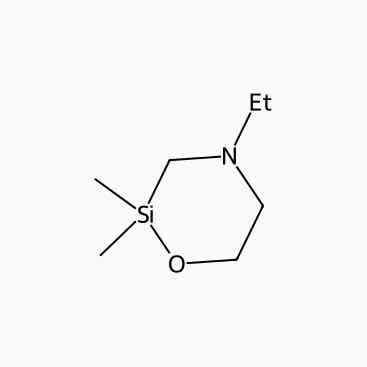 CCN1CCO[Si](C)(C)C1